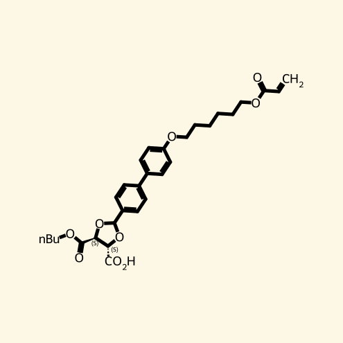 C=CC(=O)OCCCCCCOc1ccc(-c2ccc(C3O[C@H](C(=O)O)[C@@H](C(=O)OCCCC)O3)cc2)cc1